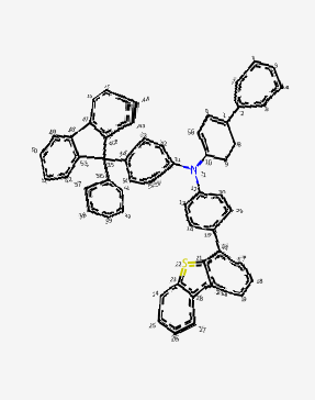 C1=C(c2ccccc2)CCC(N(c2ccc(-c3cccc4c3sc3ccccc34)cc2)c2ccc(C3(c4ccccc4)c4ccccc4-c4ccccc43)cc2)=C1